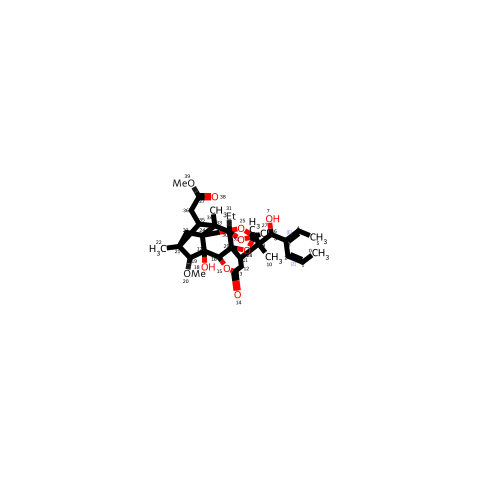 C/C=C\C(=C/C)C(O)C(C)(C)C1CC(=O)OC2C3(O)C(OC)C4(C)CC35OC3(C)OC12C(CC)(O3)C5(C)C4CC(=O)OC